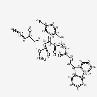 CC(C)(C)OC(=O)[C@H](CCC(=O)C=[N+]=[N-])NC(=O)[C@H](Cc1ccc(F)cc1)NC(=O)OCC1c2ccccc2-c2ccccc21